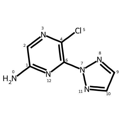 Nc1cnc(Cl)c(-n2nccn2)n1